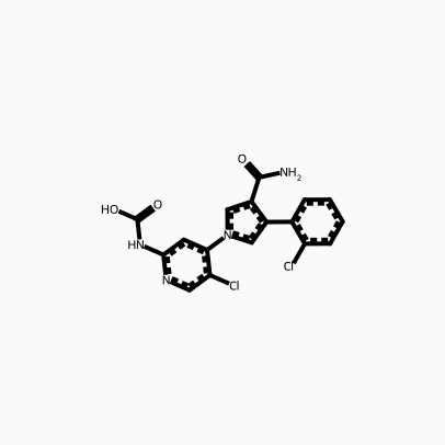 NC(=O)c1cn(-c2cc(NC(=O)O)ncc2Cl)cc1-c1ccccc1Cl